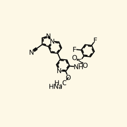 COc1ncc(-c2ccn3ncc(C#N)c3c2)cc1NS(=O)(=O)c1ccc(F)cc1F.[NaH]